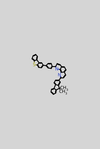 CC1(C)c2ccccc2-c2ccc(-c3ccc4ccc5ccc(-c6ccc(-c7ccc8sc9ccccc9c8c7)cc6)nc5c4n3)cc21